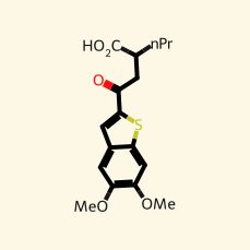 CCCC(CC(=O)c1cc2cc(OC)c(OC)cc2s1)C(=O)O